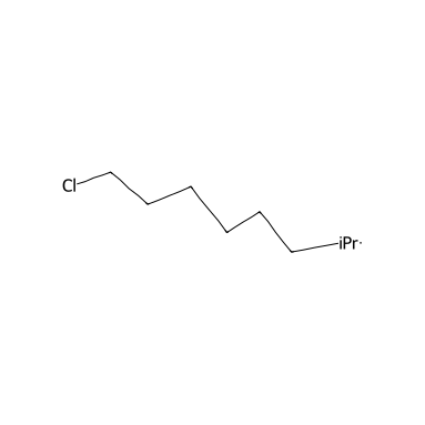 C[C](C)CCCCCCCl